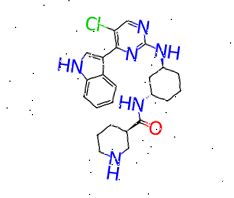 O=C(N[C@H]1CCC[C@H](Nc2ncc(Cl)c(-c3c[nH]c4ccccc34)n2)C1)[C@@H]1CCCNC1